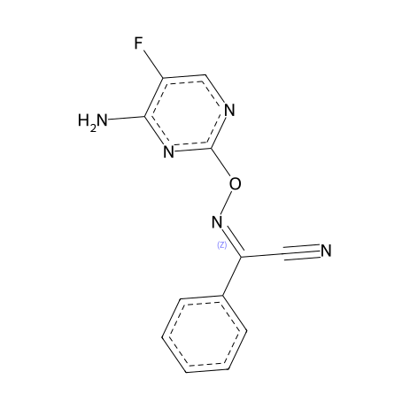 N#C/C(=N\Oc1ncc(F)c(N)n1)c1ccccc1